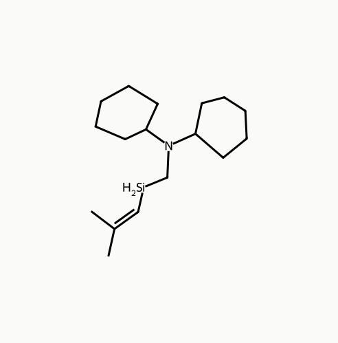 CC(C)=C[SiH2]CN(C1CCCCC1)C1CCCCC1